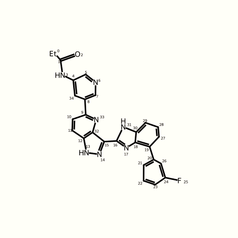 CCC(=O)Nc1cncc(-c2ccc3[nH]nc(-c4nc5c(-c6cccc(F)c6)cccc5[nH]4)c3n2)c1